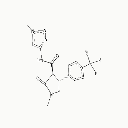 CN1C[C@@H](c2ccc(C(F)(F)F)cc2)[C@H](C(=O)Nc2cn(C)nn2)C1=O